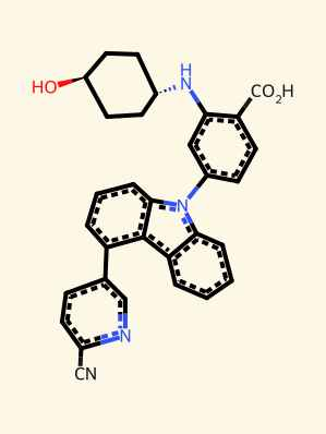 N#Cc1ccc(-c2cccc3c2c2ccccc2n3-c2ccc(C(=O)O)c(N[C@H]3CC[C@H](O)CC3)c2)cn1